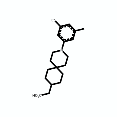 CCc1cc(C)cc(N2CCC3(CCC(CC(=O)O)CC3)CC2)c1